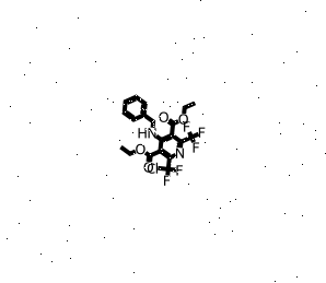 CCOC(=O)c1c(C(F)(F)F)nc(C(F)(F)Cl)c(C(=O)OCC)c1NCc1ccccc1